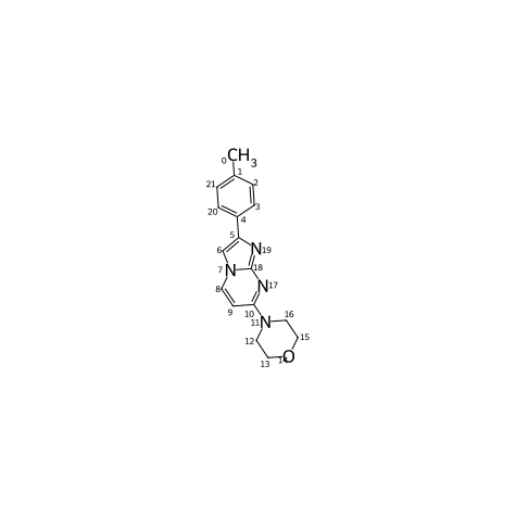 Cc1ccc(-c2cn3ccc(N4CCOCC4)nc3n2)cc1